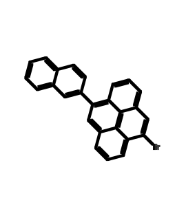 Brc1cc2cccc3c(-c4ccc5ccccc5c4)cc4cccc1c4c23